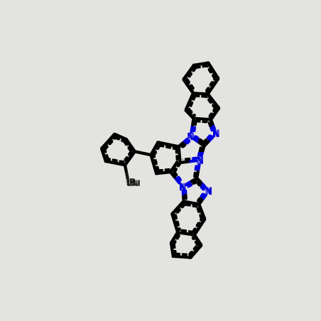 CC(C)(C)c1ccccc1-c1cc2c3c(c1)n1c4cc5ccccc5cc4nc1n3c1nc3cc4ccccc4cc3n21